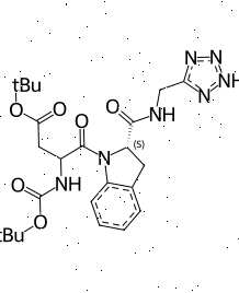 CC(C)(C)OC(=O)CC(NC(=O)OC(C)(C)C)C(=O)N1c2ccccc2C[C@H]1C(=O)NCc1nn[nH]n1